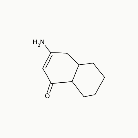 NC1=CC(=O)C2CCCCC2C1